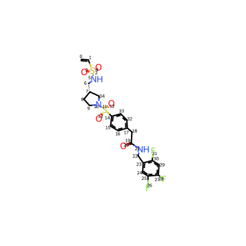 C=CS(=O)(=O)NC[C@H]1CCN(S(=O)(=O)c2ccc(CC(=O)NCc3cc(F)c(F)cc3F)cc2)C1